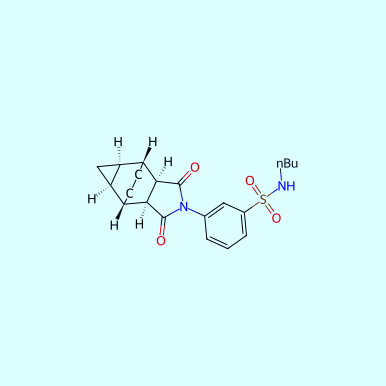 CCCCNS(=O)(=O)c1cccc(N2C(=O)[C@@H]3[C@@H]4CC[C@@H]([C@H]5C[C@H]54)[C@@H]3C2=O)c1